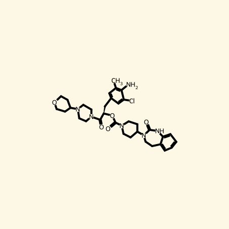 Cc1cc(C[C@@H](OC(=O)N2CCC(N3CCc4ccccc4NC3=O)CC2)C(=O)N2CCN(C3CCOCC3)CC2)cc(Cl)c1N